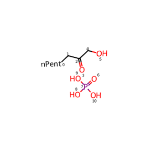 CCCCCCC(=O)CO.O=P(O)(O)O